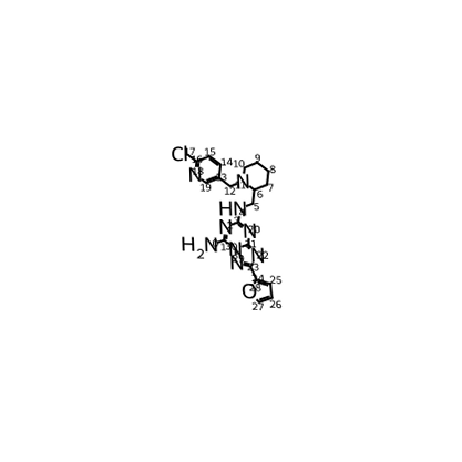 Nc1nc(NCC2CCCCN2Cc2ccc(Cl)nc2)nc2nc(-c3ccco3)nn12